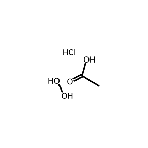 CC(=O)O.Cl.OO